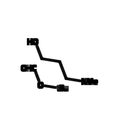 CC(C)(C)OC=O.CNCCCO